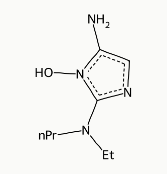 CCCN(CC)c1ncc(N)n1O